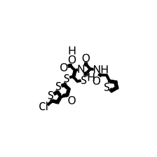 O=C(Cc1cccs1)NC1C(=O)N2C(C(=O)O)=C(Sc3cc(=O)c4cc(Cl)sc4s3)CS[C@@H]12